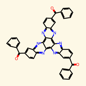 O=C(c1ccccc1)c1ccc2nc3c4nc5cc(C(=O)c6ccccc6)ccc5nc4c4nc5cc(C(=O)c6ccccc6)ccc5nc4c3nc2c1